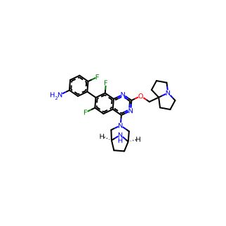 Nc1ccc(F)c(-c2c(F)cc3c(N4C[C@H]5CC[C@@H](C4)N5)nc(OCC45CCCN4CCC5)nc3c2F)c1